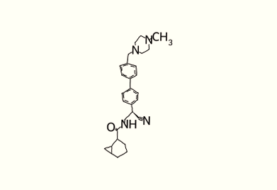 CN1CCN(Cc2ccc(-c3ccc([C@@H](C#N)CNC(=O)C4CCCC5CC54)cc3)cc2)CC1